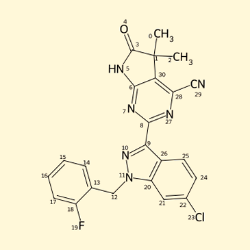 CC1(C)C(=O)Nc2nc(-c3nn(Cc4ccccc4F)c4cc(Cl)ccc34)nc(C#N)c21